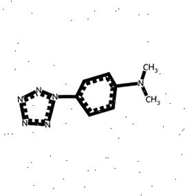 CN(C)c1ccc(-n2nnnn2)cc1